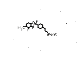 CCCC(C)CCCC1CCC(C(F)(F)OC2CCC(C)C(F)C2F)CC1